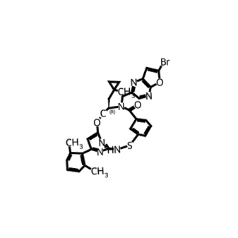 Cc1cccc(C)c1-c1cc2nc(n1)NSc1cccc(c1)C(=O)N(Cc1cnc3oc(Br)cc3n1)[C@H](CC1(C)CC1)CO2